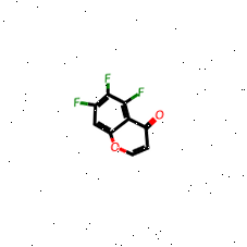 O=c1ccoc2cc(F)c(F)c(F)c12